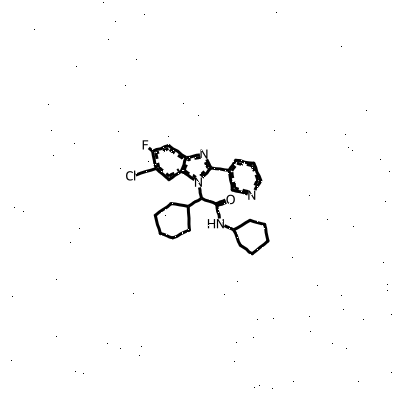 O=C(NC1CCCCC1)C(C1CCCCC1)n1c(-c2cccnc2)nc2cc(F)c(Cl)cc21